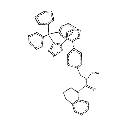 CCCCCN(Cc1ccc(-c2ccccc2-c2nnnn2C(c2ccccc2)(c2ccccc2)c2ccccc2)cc1)C(=O)N1CCCc2ccccc21